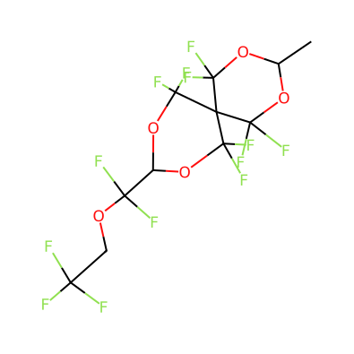 CC1OC(F)(F)C2(C(F)(F)O1)C(F)(F)OC(C(F)(F)OCC(F)(F)F)OC2(F)F